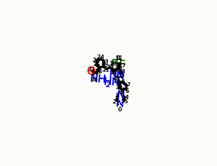 CN1CCN(c2cccc(Nc3ncc(C(F)(F)F)c(CCc4ccccc4CC(N)=O)n3)c2)CC1